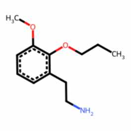 CCCOc1c(CCN)cccc1OC